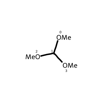 CO[C](OC)OC